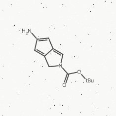 CC(C)(C)OC(=O)N1C=C2C=C(N)C=C2C1